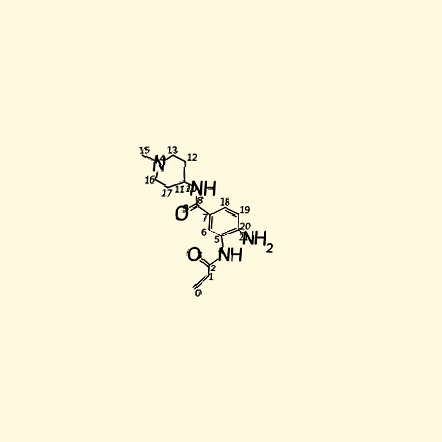 C=CC(=O)Nc1cc(C(=O)NC2CCN(C)CC2)ccc1N